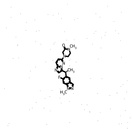 C[C@@H](c1cc2cnn(C)c2cc1F)c1cnc2ccc(N3CCN(C)C(=O)C3)nn12